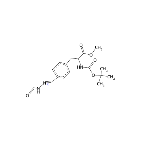 COC(=O)C(Cc1ccc(/C=N/NC=O)cc1)NC(=O)OC(C)(C)C